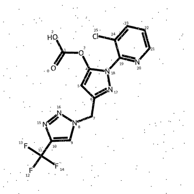 O=C(O)Oc1cc(Cn2cc(C(F)(F)F)nn2)nn1-c1ncccc1Cl